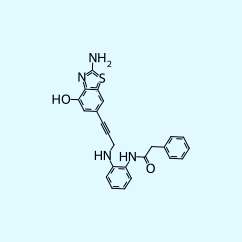 Nc1nc2c(O)cc(C#CCNc3ccccc3NC(=O)Cc3ccccc3)cc2s1